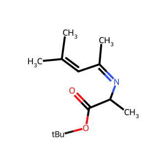 CC(C)=C/C(C)=N\C(C)C(=O)OC(C)(C)C